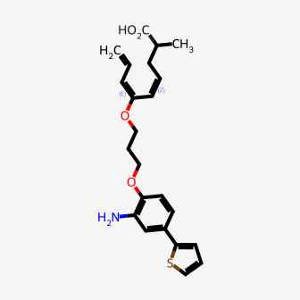 C=C/C=C(\C=C/CC(C)C(=O)O)OCCCOc1ccc(-c2cccs2)cc1N